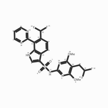 COc1nc(NS(=O)(=O)c2c[nH]c3c(-c4ncccn4)c(C(F)F)ccc23)nc(OC)c1CC(F)F